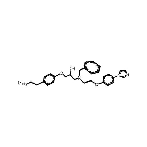 COCCc1ccc(OCC(O)CN(CCOc2ccc(-n3ccnc3)cc2)Cc2ccccc2)cc1